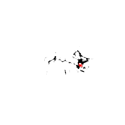 C=C(C)C(=O)OCCCCOC(C)OC12CC3CC(C1)C(OC(=O)C(F)(F)S(=O)(=O)O)C(C3)C2